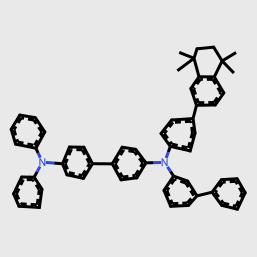 CC1(C)CCC(C)(C)c2cc(-c3ccc(N(c4ccc(-c5ccc(N(c6ccccc6)c6ccccc6)cc5)cc4)c4cccc(-c5ccccc5)c4)cc3)ccc21